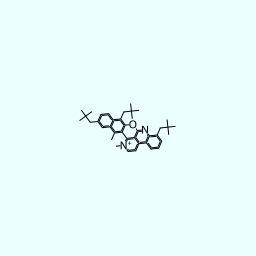 Cc1c2c(c(CC(C)(C)C)c3ccc(CC(C)(C)C)cc13)Oc1nc3c(CC(C)(C)C)cccc3c3cc[n+](C)c-2c13